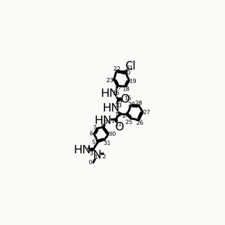 CN(C)C(=N)c1ccc(NC(=O)C(NC(=O)Nc2ccc(Cl)cc2)c2ccccc2)cc1